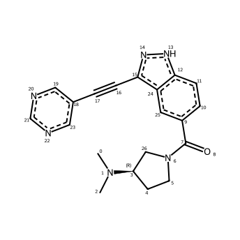 CN(C)[C@@H]1CCN(C(=O)c2ccc3[nH]nc(C#Cc4cncnc4)c3c2)C1